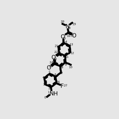 CNc1cccc(Cc2c(C)c3ccc(OC(=O)N(C)C)cc3oc2=O)c1F